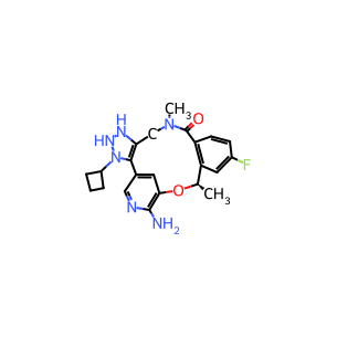 C[C@H]1Oc2cc(cnc2N)C2=C(CN(C)C(=O)c3ccc(F)cc31)NNN2C1CCC1